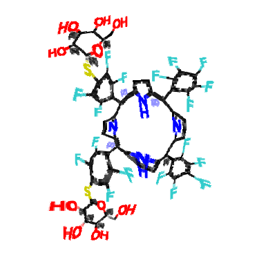 OC[C@H]1O[C@H](Sc2c(F)c(F)c(/C3=c4\cc/c([nH]4)=C(\c4c(F)c(F)c(F)c(F)c4F)C4=NC(C=C4)[C@@H](c4c(F)c(F)c(F)c(F)c4F)c4ccc([nH]4)/C(c4c(F)c(F)c(S[C@H]5O[C@H](CO)[C@@H](O)[C@H](O)[C@@H]5O)c(F)c4F)=C4/C=CC3=N4)c(F)c2F)[C@@H](O)[C@@H](O)C1O